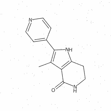 Cc1c(-c2ccncc2)[nH]c2c1C(=O)NCC2